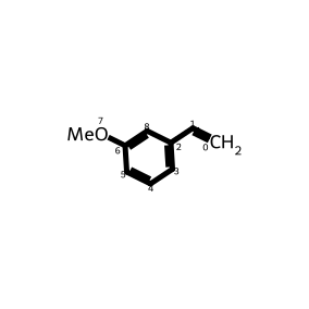 C=[C]c1cccc(OC)c1